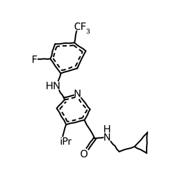 CC(C)c1cc(Nc2ccc(C(F)(F)F)cc2F)ncc1C(=O)NCC1CC1